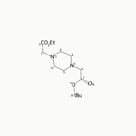 CCOC(=O)CN1CCN(CC(=O)OC(C)(C)C)CC1